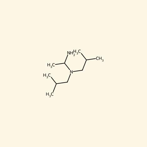 CC(C)CN(CC(C)C)C(C)N